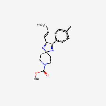 Cc1ccc(C2=NC3(CCN(C(=O)OC(C)(C)C)CC3)N=C2/C=C/C(=O)O)cc1